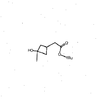 CC1(O)CC(CC(=O)OC(C)(C)C)C1